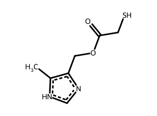 Cc1[nH]cnc1COC(=O)CS